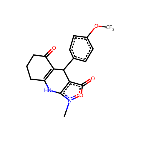 Cn1oc(=O)c2c1NC1=C(C(=O)CCC1)C2c1ccc(OC(F)(F)F)cc1